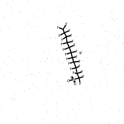 O=S(=O)([O-])C(F)(F)C(F)(F)C(F)(F)C(F)(F)C(F)(F)C(F)(F)C(F)(F)C(F)(F)C(F)(F)C(F)(F)C(F)F.[K+]